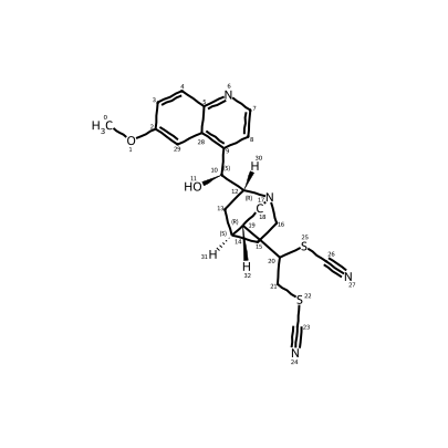 COc1ccc2nccc([C@H](O)[C@H]3C[C@@H]4CCN3C[C@@H]4C(CSC#N)SC#N)c2c1